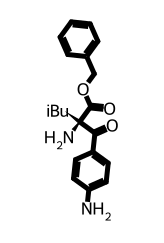 CC[C@H](C)[C@](N)(C(=O)OCc1ccccc1)C(=O)c1ccc(N)cc1